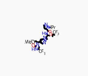 COCC(c1cnn2cc(C(COC(C)(C)C(F)(F)F)NC(=O)c3ccnn3C(C)C)nc2c1)N1C[C@@H](C(F)(F)F)NC1=O